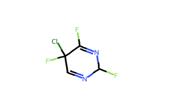 FC1=NC(F)N=CC1(F)Cl